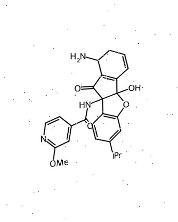 COc1cc(C(=O)NC23C(=O)C4=C(C=CCC4N)C2(O)Oc2cc(C(C)C)ccc23)ccn1